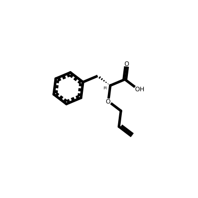 C=CCO[C@H](Cc1ccccc1)C(=O)O